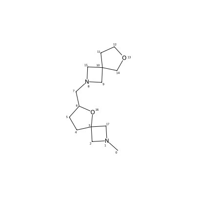 CN1CC2(CCC(CN3CC4(CCOC4)C3)O2)C1